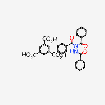 O=C(NN(C(=O)c1ccccc1)C(=O)c1ccccc1)c1ccccc1.O=C(O)c1cc(C(=O)O)cc(C(=O)O)c1